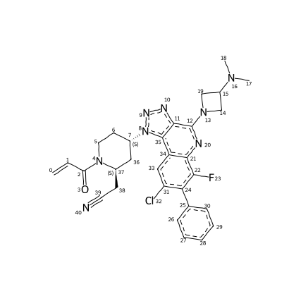 C=CC(=O)N1CC[C@H](n2nnc3c(N4CC(N(C)C)C4)nc4c(F)c(-c5ccccc5)c(Cl)cc4c32)C[C@H]1CC#N